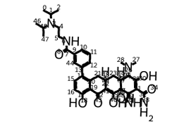 CC(C)N(CCNC(=O)c1cccc(-c2ccc(O)c3c2C[C@H]2C[C@H]4[C@H](N(C)C)C(O)=C(C(N)=O)C(=N)[C@@]4(O)C(O)=C2C3=O)c1)C(C)C